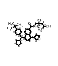 CC(C)(CNC(=O)c1cc2c(-c3ccoc3)ccc(C(c3ccc(C(C)(C)C)cc3)C3CCCC3)c2cn1)CC(=O)O